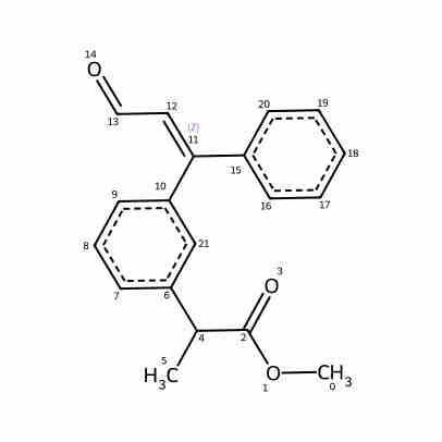 COC(=O)C(C)c1cccc(/C(=C\C=O)c2ccccc2)c1